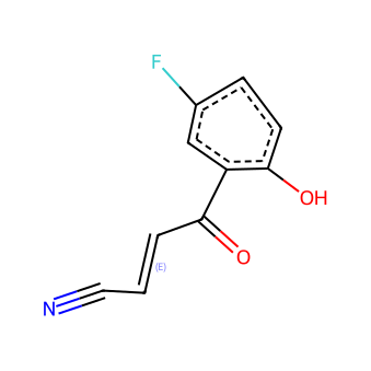 N#C/C=C/C(=O)c1cc(F)ccc1O